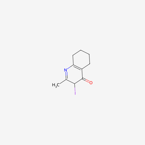 CC1=NC2=C(CCCC2)C(=O)C1I